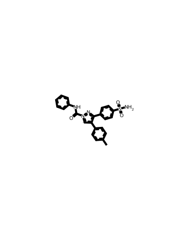 Cc1ccc(-c2[c]n(C(=O)Nc3ccccc3)nc2-c2ccc(S(N)(=O)=O)cc2)cc1